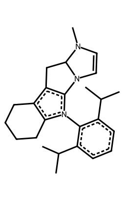 CC(C)c1cccc(C(C)C)c1-n1c2c(c3c1N1C=CN(C)C1C3)CCCC2